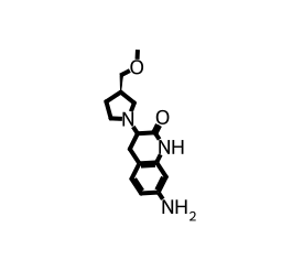 COC[C@@H]1CCN(C2Cc3ccc(N)cc3NC2=O)C1